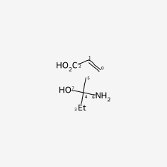 C=CC(=O)O.CCC(C)(N)O